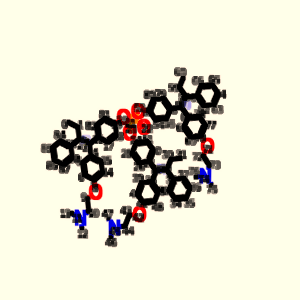 CC/C(=C(/c1ccc(OCCN(C)C)cc1)c1ccc(OP(=O)(Oc2ccc(/C(=C(\CC)c3ccccc3)c3ccc(OCCN(C)C)cc3)cc2)Oc2ccc(/C(=C(\CC)c3ccccc3)c3ccc(OCCN(C)C)cc3)cc2)cc1)c1ccccc1